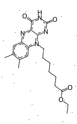 CCOC(=O)CCCCCCn1c2nc(=O)[nH]c(=O)c-2nc2cc(C)c(C)cc21